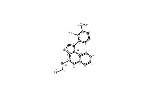 COc1cccc(-c2cnc3c(NCC(C)C)nc4ccccc4n23)c1F